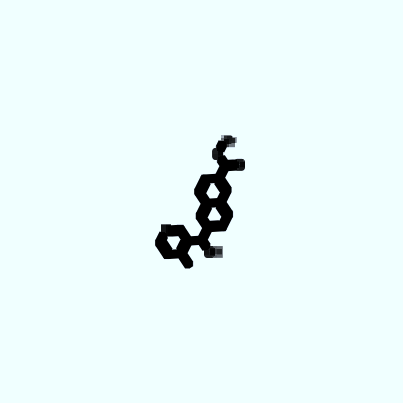 Cc1ccncc1C(O)c1ccc2cc(C(=O)OC(C)C)ccc2c1